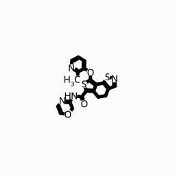 Cc1ncccc1Oc1sc(C(=O)NC2=NC=COC2)c2c1-c1sncc1CC2